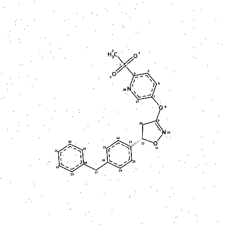 CS(=O)(=O)c1ccc(OC2=NO[C@H](c3ccc(Cc4ccccc4)cc3)C2)cn1